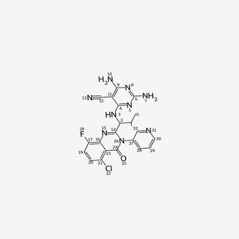 CCC(Nc1nc(N)nc(N)c1C#N)c1nc2c(F)ccc(Cl)c2c(=O)n1-c1cccnc1